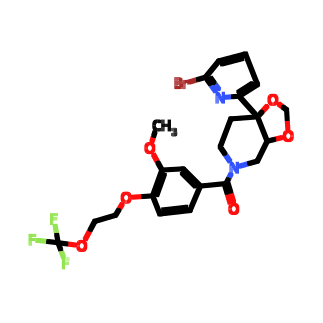 COc1cc(C(=O)N2CCC3(c4cccc(Br)n4)OCOC3C2)ccc1OCCOC(F)(F)F